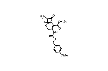 COc1ccc(COC(=O)NC2=C(C(=O)OC(C)(C)C)N3C(=O)C(N)[C@H]3SC2)cc1